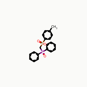 Cc1ccc(S(=O)(=O)CP(=O)(c2ccccc2)c2ccccc2)cc1